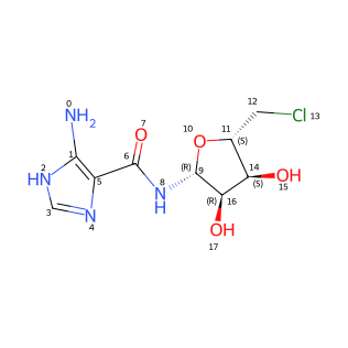 Nc1[nH]cnc1C(=O)N[C@@H]1O[C@H](CCl)[C@@H](O)[C@H]1O